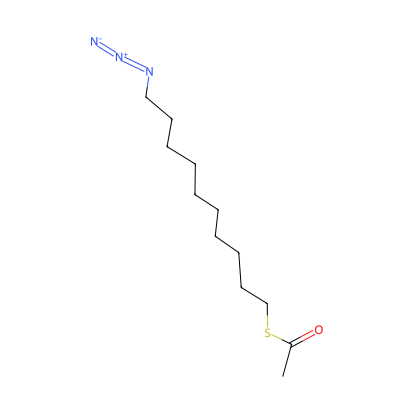 CC(=O)SCCCCCCCCCCN=[N+]=[N-]